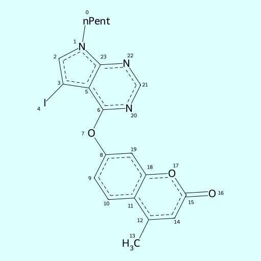 CCCCCn1cc(I)c2c(Oc3ccc4c(C)cc(=O)oc4c3)ncnc21